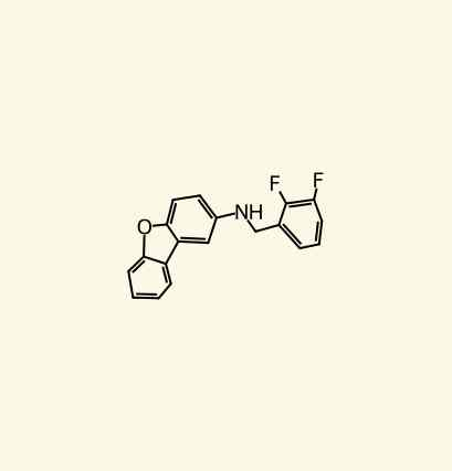 Fc1cccc(CNc2ccc3oc4ccccc4c3c2)c1F